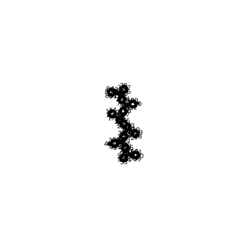 Cc1ccc(N(c2ccc(-n3c(-c4ccccc4)cc4cc5c(cc(-c6ccccc6)n5-c5ccc(N(c6ccc(C)cc6)c6ccc7c(c6)c6ccccc6n7-c6ccccc6)cc5)cc43)cc2)c2ccc3c(c2)c2ccccc2n3-c2ccccc2)cc1